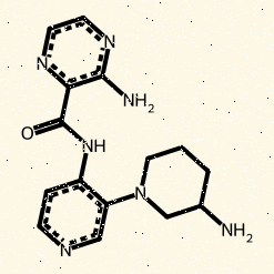 Nc1nccnc1C(=O)Nc1ccncc1N1CCCC(N)C1